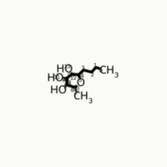 CCCCC1O[C@@H](C)[C@@H](O)[C@@H](O)[C@@H]1O